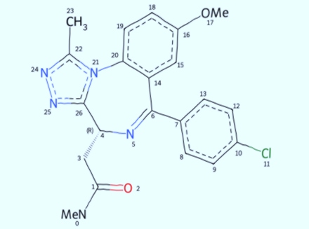 CNC(=O)C[C@H]1N=C(c2ccc(Cl)cc2)c2cc(OC)ccc2-n2c(C)nnc21